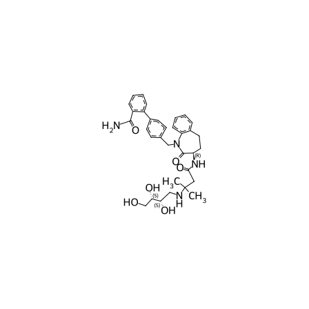 CC(C)(CC(=O)N[C@@H]1CCc2ccccc2N(Cc2ccc(-c3ccccc3C(N)=O)cc2)C1=O)NC[C@H](O)[C@@H](O)CO